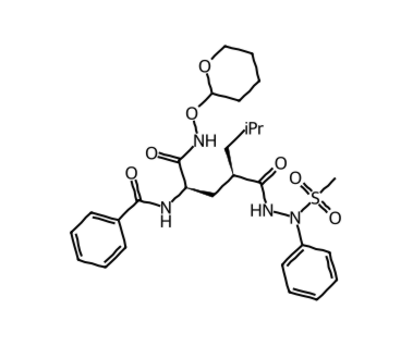 CC(C)C[C@H](C[C@@H](NC(=O)c1ccccc1)C(=O)NOC1CCCCO1)C(=O)NN(c1ccccc1)S(C)(=O)=O